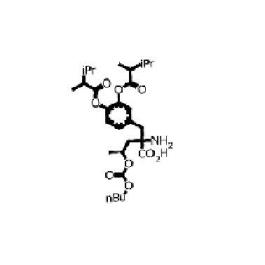 CCCCOC(=O)O[C@@H](C)CC(N)(Cc1ccc(OC(=O)C(C)C(C)C)c(OC(=O)C(C)C(C)C)c1)C(=O)O